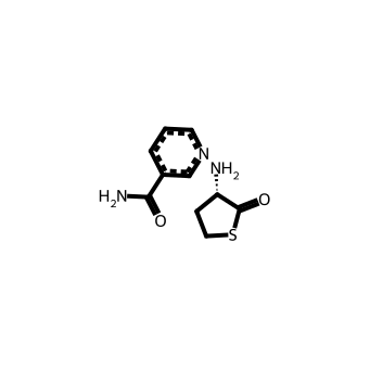 NC(=O)c1cccnc1.N[C@H]1CCSC1=O